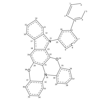 C/C=C\C(=C/C)c1cccc(-n2c3ccccc3c3cc4c5c(c32)Oc2ccccc2N5c2ccccc2O4)c1